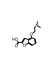 CN(C)CCOc1cccc2oc(C(=O)O)cc12